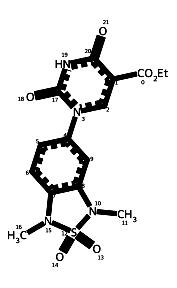 CCOC(=O)c1cn(-c2ccc3c(c2)N(C)S(=O)(=O)N3C)c(=O)[nH]c1=O